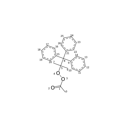 CC(=O)OOC(C)(C)C(c1ccccc1)(c1ccccc1)c1ccccc1